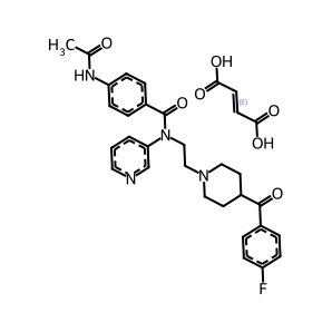 CC(=O)Nc1ccc(C(=O)N(CCN2CCC(C(=O)c3ccc(F)cc3)CC2)c2cccnc2)cc1.O=C(O)/C=C/C(=O)O